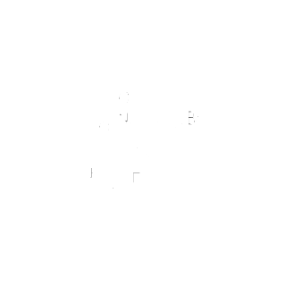 O=[N+]([O-])c1cc(Br)ccc1CC(F)(F)F